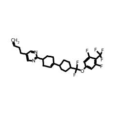 C=CCCc1cnc(C2CC=C(C3CCC(C(F)(F)Oc4cc(F)c(C(F)(F)F)c(F)c4)CC3)CC2)nc1